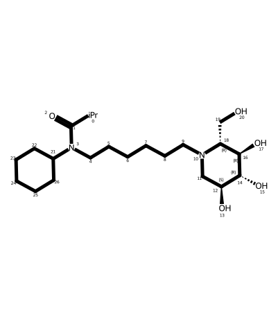 CC(C)C(=O)N(CCCCCCN1C[C@H](O)[C@@H](O)[C@H](O)[C@H]1CO)C1CCCCC1